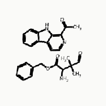 CC(=O)c1nccc2c1[nH]c1ccccc12.CC(C)(C=O)C(N)C(=O)OCc1ccccc1